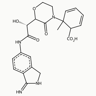 CC1(N2CCOC([C@@H](O)C(=O)Nc3ccc4c(c3)CNC4=N)C2=O)C=CC=CC1C(=O)O